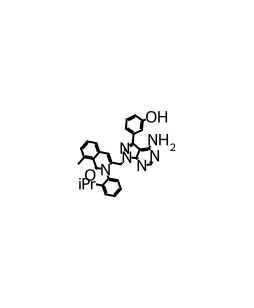 Cc1cccc2cc(Cn3nc(-c4cccc(O)c4)c4c(N)ncnc43)n(-c3ccccc3C(C)C)c(=O)c12